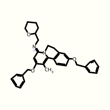 Cc1c(OCc2ccccc2)c/c(=N/CC2CCCCO2)n2c1-c1ccc(OCc3ccccc3)cc1CC2